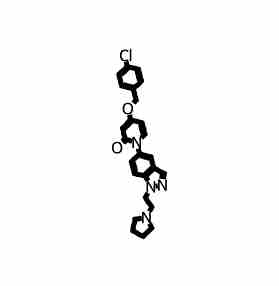 O=c1cc(OCc2ccc(Cl)cc2)ccn1-c1ccc2c(cnn2CCN2CCCC2)c1